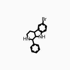 Brc1ccc2c(c1)C1CCNC(c3ccccc3)C1N2